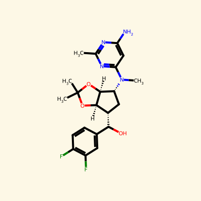 Cc1nc(N)cc(N(C)[C@@H]2C[C@H](C(O)c3ccc(F)c(F)c3)[C@H]3OC(C)(C)O[C@H]32)n1